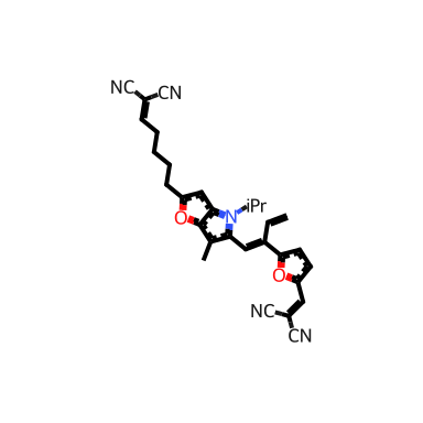 C=C/C(=C\c1c(C)c2oc(CCCCC=C(C#N)C#N)cc2n1C(C)C)c1ccc(C=C(C#N)C#N)o1